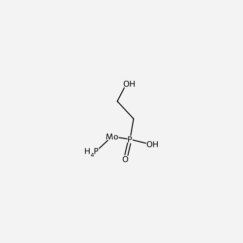 O=[P](O)(CCO)[Mo][PH4]